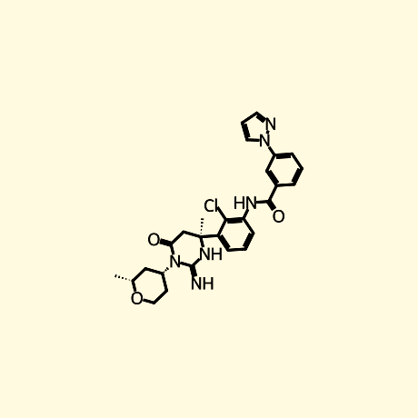 C[C@@H]1C[C@H](N2C(=N)N[C@](C)(c3cccc(NC(=O)c4cccc(-n5cccn5)c4)c3Cl)CC2=O)CCO1